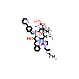 CCC(C)C(C(=O)NC(Cc1ccccc1)C(O)CN(Cc1ccc(-c2ccccn2)cc1)NC(=O)C(NC(=O)O)C(C)(C)C)N1CCN(Cc2csc(C)n2)C1=O